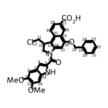 COc1cc2cc(C(=O)N3CC(CCl)c4c3cc(OCc3ccccc3)c3cc(C(=O)O)ccc43)[nH]c2cc1OC